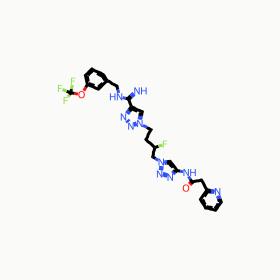 N=C(NCc1cccc(OC(F)(F)F)c1)c1cn(CCC(F)Cn2cc(NC(=O)Cc3ccccn3)nn2)nn1